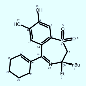 CCCC[C@]1(CC)CS(=O)(=O)c2cc(O)c(O)cc2C(C2=CCCCC2)=N1